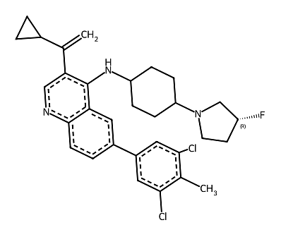 C=C(c1cnc2ccc(-c3cc(Cl)c(C)c(Cl)c3)cc2c1NC1CCC(N2CC[C@@H](F)C2)CC1)C1CC1